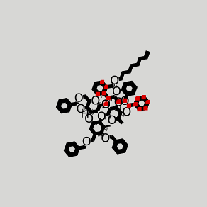 C=CCCCCCCO[C@@H]1OC(COCc2ccccc2)[C@@H](O[C@@H]2OC3COC(c4ccccc4)O[C@@H]3[C@H](O[C@H]3CC(COCc4ccccc4)[C@H](OCc4ccccc4)[C@H](C)C3C)C2O[C@@H]2OC(C)[C@@H](OCc3ccccc3)[C@H](OCc3ccccc3)C2OCc2ccccc2)[C@H](C)C1C